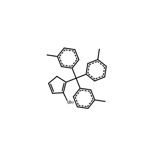 Cc1cccc(C(C2=C(C(C)(C)C)C=CC2)(c2cccc(C)c2)c2cccc(C)c2)c1